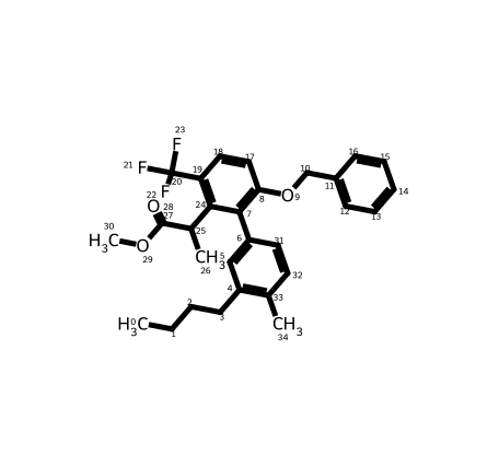 CCCCc1cc(-c2c(OCc3ccccc3)ccc(C(F)(F)F)c2C(C)C(=O)OC)ccc1C